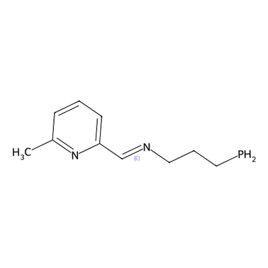 Cc1cccc(/C=N/CCCP)n1